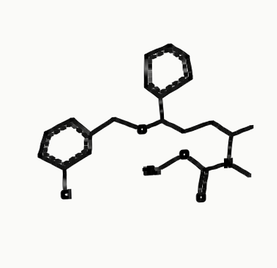 CC(CCC(OCc1cccc(Cl)c1)c1ccccc1)N(C)C(=O)OC(C)(C)C